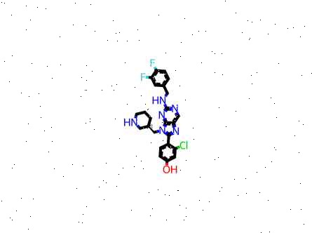 Oc1ccc(-c2nc3cnc(NCc4ccc(F)c(F)c4)nc3n2C[C@@H]2CCCNC2)c(Cl)c1